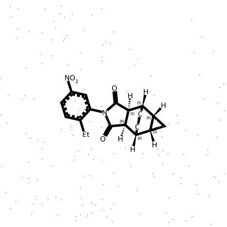 CCc1ccc([N+](=O)[O-])cc1N1C(=O)[C@@H]2[C@@H]3CC[C@@H]([C@@H]4C[C@@H]43)[C@@H]2C1=O